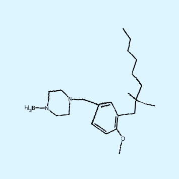 BN1CCN(Cc2ccc(OC)c(CC(C)(C)CCCCCC)c2)CC1